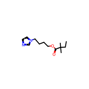 CCC(C)(C)C(=O)OCCCCn1ccnc1